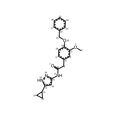 COc1cc(CC(=O)Nc2cc(C3CC3)[nH]n2)ccc1OCc1ccccc1